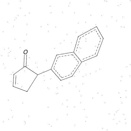 O=C1C=CCC1c1ccc2ccccc2c1